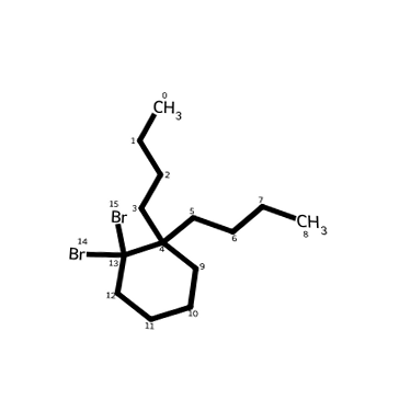 CCCCC1(CCCC)CCCCC1(Br)Br